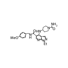 CCn1ncc2c(NC3CCN(C(N)=O)CC3)c(C(=O)NCc3ccc(OC)cc3)cnc21